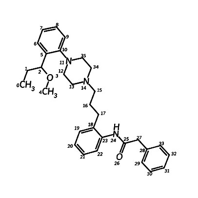 CCC(OC)c1ccccc1N1CCN(CCCc2ccccc2NC(=O)Cc2ccccc2)CC1